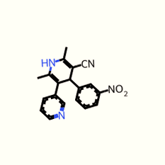 CC1=C(C#N)C(c2cccc([N+](=O)[O-])c2)C(c2cccnc2)=C(C)N1